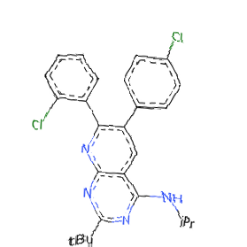 CC(C)Nc1nc(C(C)(C)C)nc2nc(-c3ccccc3Cl)c(-c3ccc(Cl)cc3)cc12